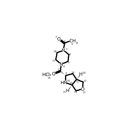 CC(=O)N1CCN(C(=O)[C@@H]2C[C@H]3COC[C@H]3N2)CC1.Cl